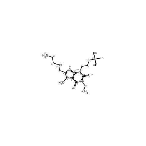 CCn1c(=O)c2c(C)c(CNCCN)sc2n(CCSC(F)(F)F)c1=O